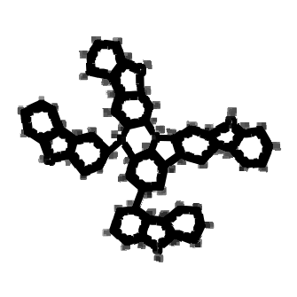 c1ccc2c(c1)oc1ccc(N3c4cc5c(cc4B4c6cc7oc8ccccc8c7cc6-c6cc(-c7cccc8oc9ccccc9c78)cc3c64)oc3ccccc35)cc12